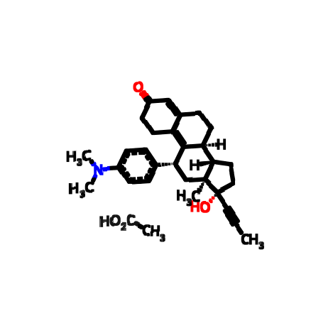 CC#C[C@]1(O)CC[C@H]2[C@@H]3CCC4=CC(=O)CCC4=C3[C@@H](c3ccc(N(C)C)cc3)C[C@@]21C.CC(=O)O